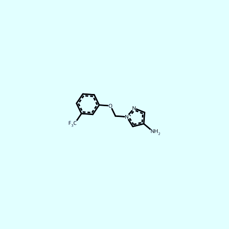 Nc1cnn(COc2cccc(C(F)(F)F)c2)c1